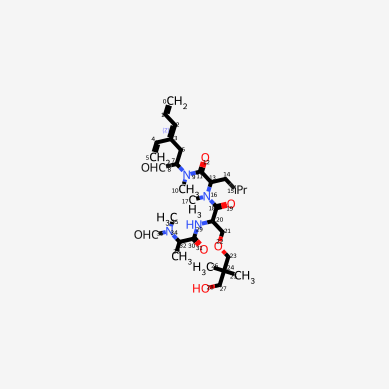 C=C/C=C(\C=C)CC(C=O)N(C)C(=O)C(CC(C)C)N(C)C(=O)C(COCC(C)(C)CO)NC(=O)C(C)N(C)C=O